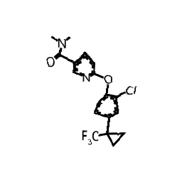 CN(C)C(=O)c1ccc(Oc2ccc(C3(C(F)(F)F)CC3)cc2Cl)nc1